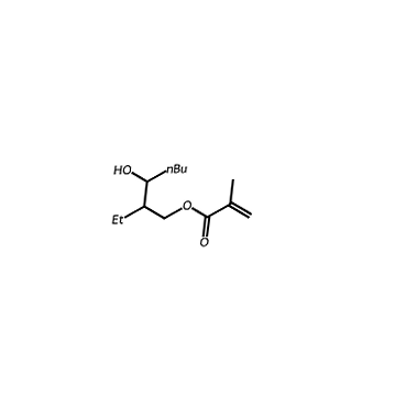 C=C(C)C(=O)OCC(CC)C(O)CCCC